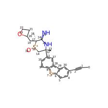 CC#Cc1ccc2sc3ccc([C@]4(C)C[S+]([O-])[C@@](C)(CC5CCO5)C(=N)N4)cc3c2c1